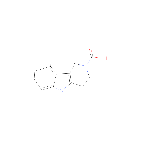 O=C(O)N1CCc2[nH]c3cccc(F)c3c2C1